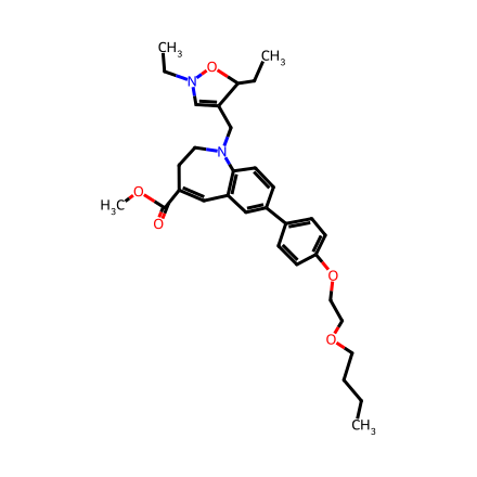 CCCCOCCOc1ccc(-c2ccc3c(c2)C=C(C(=O)OC)CCN3CC2=CN(CC)OC2CC)cc1